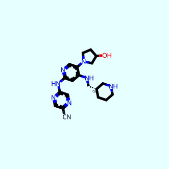 N#Cc1cnc(Nc2cc(NC[C@H]3CCCNC3)c(N3CCC(O)C3)cn2)cn1